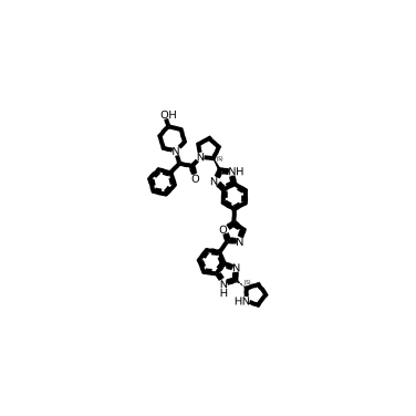 O=C(C(c1ccccc1)N1CCC(O)CC1)N1CCC[C@H]1c1nc2cc(-c3cnc(-c4cccc5[nH]c([C@@H]6CCCN6)nc45)o3)ccc2[nH]1